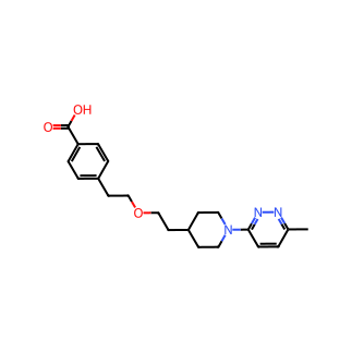 Cc1ccc(N2CCC(CCOCCc3ccc(C(=O)O)cc3)CC2)nn1